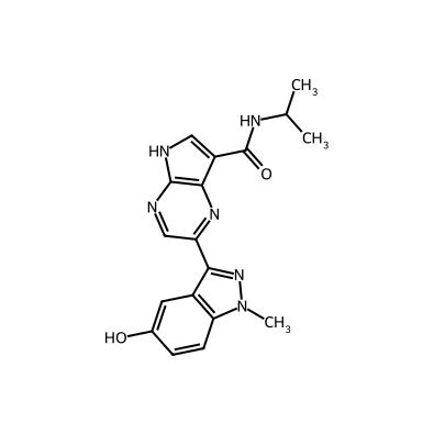 CC(C)NC(=O)c1c[nH]c2ncc(-c3nn(C)c4ccc(O)cc34)nc12